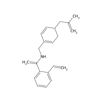 C=Cc1ccccc1C(=C)NCC1=CCC(CC(=C)C)C=C1